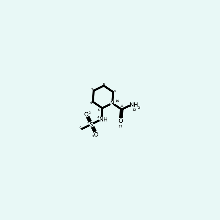 CS(=O)(=O)NC1CCCCN1C(N)=O